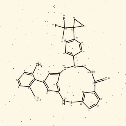 Cc1cccc(C)c1-c1cc2nc(n1)NSc1cccc(c1)C(=O)NCC(c1ccc(C3(C(F)(F)F)CC3)cc1)O2